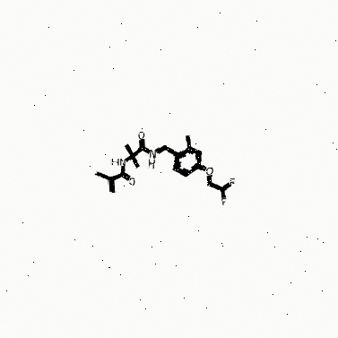 Cc1cc(OCC(F)F)ccc1CNC(=O)C(C)(C)NC(=O)C(C)C